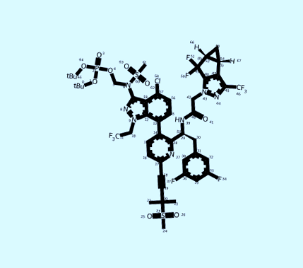 CC(C)(C)OP(=O)(OCN(c1nn(CC(F)(F)F)c2c(-c3ccc(C#CC(C)(C)S(C)(=O)=O)nc3[C@H](Cc3cc(F)cc(F)c3)NC(=O)Cn3nc(C(F)(F)F)c4c3C(F)(F)[C@@H]3C[C@H]43)ccc(Cl)c12)S(C)(=O)=O)OC(C)(C)C